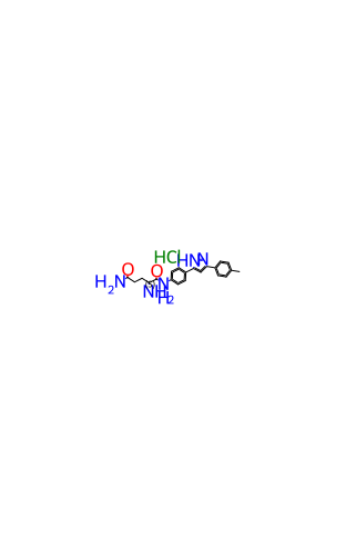 Cc1ccc(-c2cc(-c3ccc(NC(=O)[C@@H](N)CCC(N)=O)cc3)[nH]n2)cc1.Cl